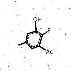 CC(=O)c1cc(C)cc(O)c1F